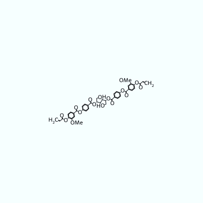 C=CC(=O)Oc1ccc(C(=O)Oc2ccc(C(=O)O[C@H]3CO[C@@H]4[C@H]3OC[C@H]4OC(=O)c3ccc(OC(=O)c4ccc(OC(=O)C=C)c(OC)c4)cc3)cc2)cc1OC